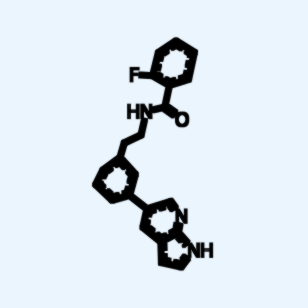 O=C(NCCc1cccc(-c2cnc3[nH]ccc3c2)c1)c1ccccc1F